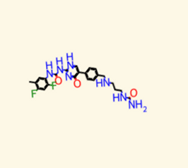 Cc1cc(NC(=O)Nc2nc(=O)c(-c3ccc(CNCCCNC(N)=O)cc3)c[nH]2)c(F)cc1F